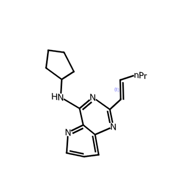 CCC/C=C/c1nc(NC2CCCC2)c2ncccc2n1